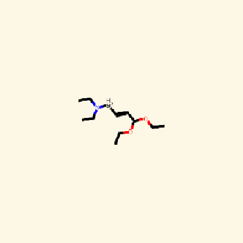 CCOC(C=C[SiH2]N(CC)CC)OCC